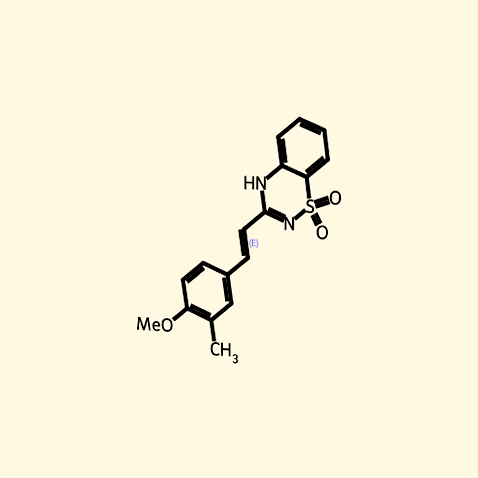 COc1ccc(/C=C/C2=NS(=O)(=O)c3ccccc3N2)cc1C